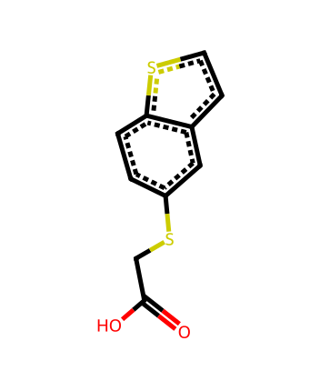 O=C(O)CSc1ccc2sccc2c1